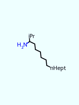 CCCCCCCCCCCCCC(N)C(C)C